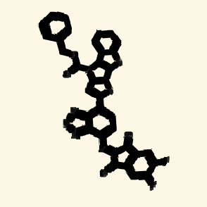 O=C(OCc1ccccc1)n1c2cc(-c3ccc(N=c4c(=O)c5cc(F)c(F)cc5c4=O)c4nsnc34)sc2c2sc3ccccc3c21